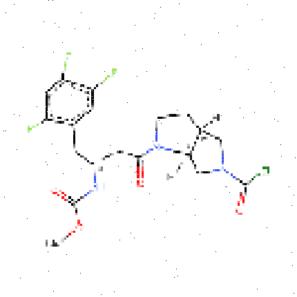 CC(C)(C)OC(=O)N[C@@H](CC(=O)N1CC[C@H]2CN(C(=O)Cl)C[C@H]21)Cc1cc(F)c(F)cc1F